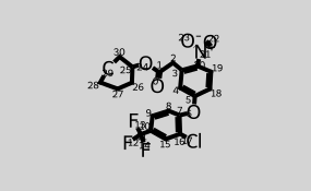 O=C(Cc1cc(Oc2ccc(C(F)(F)F)cc2Cl)ccc1[N+](=O)[O-])OC1CCCCC1